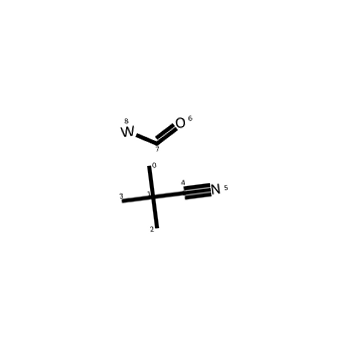 CC(C)(C)C#N.O=[CH][W]